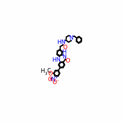 COc1cc(-c2ccc3c(c2)Nc2ccc(CC(=O)NC4CCN(Cc5ccccc5)CC4)cc2NC3=O)ccc1[N+](=O)[O-]